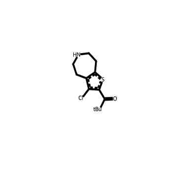 CC(C)(C)C(=O)c1sc2c(c1Cl)CCNCC2